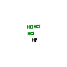 Cl.Cl.Cl.[Hf]